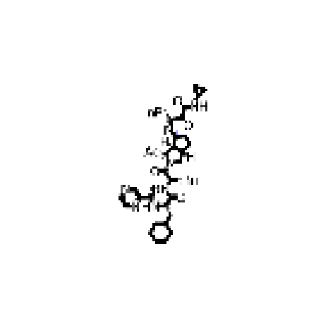 CCC[C@H](/N=C1\CC[C@H]2CN(C(=O)C(NC(=O)[C@H](CC3CCCCC3)NC(=O)c3cnccn3)C(C)(C)C)[C@H](C(C)=O)[C@@H]12)C(=O)C(=O)NC1CC1